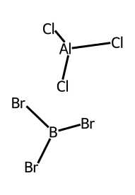 BrB(Br)Br.[Cl][Al]([Cl])[Cl]